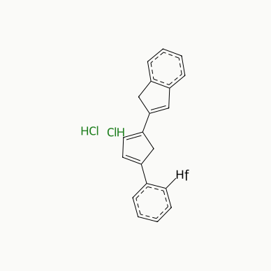 Cl.Cl.[Hf][c]1ccccc1C1=CC=C(C2=Cc3ccccc3C2)C1